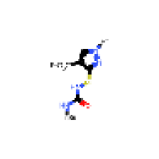 CCCCNC(=O)NSc1nn(CC)cc1C(=O)OCC